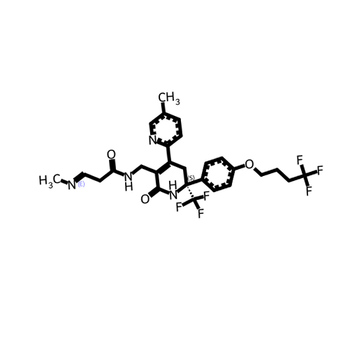 C/N=C/CC(=O)NCC1=C(c2ccc(C)cn2)C[C@](c2ccc(OCCCC(F)(F)F)cc2)(C(F)(F)F)NC1=O